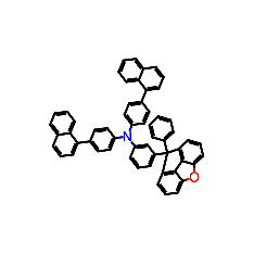 c1ccc(C2(c3cccc(N(c4ccc(-c5cccc6ccccc56)cc4)c4ccc(-c5cccc6ccccc56)cc4)c3)c3cccc4oc5cccc2c5c34)cc1